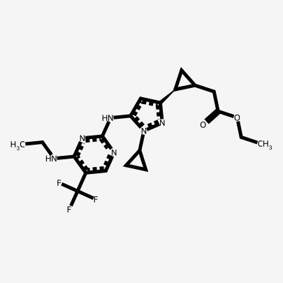 CCNc1nc(Nc2cc([C@H]3CC3CC(=O)OCC)nn2C2CC2)ncc1C(F)(F)F